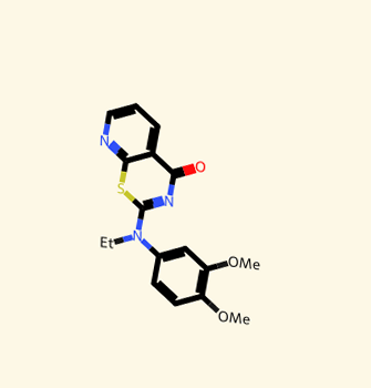 CCN(c1ccc(OC)c(OC)c1)c1nc(=O)c2cccnc2s1